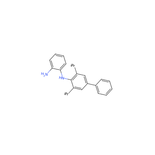 CC(C)c1cc(-c2ccccc2)cc(C(C)C)c1Nc1ccccc1N